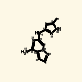 Cc1cc(Nc2cn3nccc3c(N)n2)n[nH]1